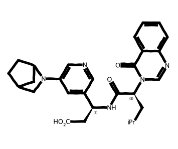 CC(C)C[C@@H](C(=O)N[C@@H](CC(=O)O)c1cncc(N2CC3CCC2C3)c1)n1cnc2ccccc2c1=O